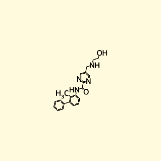 Cc1c(NC(=O)c2ncc(CNCCO)cn2)cccc1-c1ccccc1